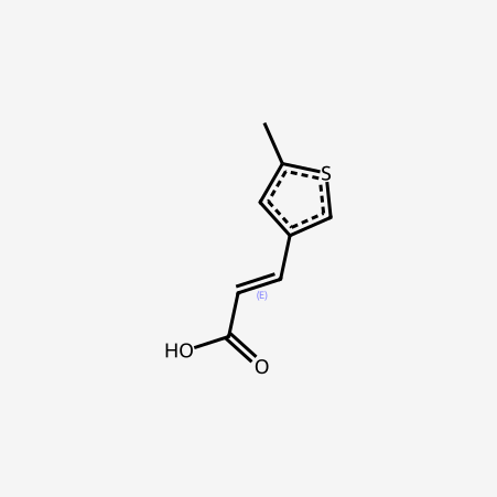 Cc1cc(/C=C/C(=O)O)cs1